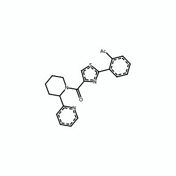 CC(=O)c1ccccc1-c1nc(C(=O)N2CCCCC2c2ccccn2)cs1